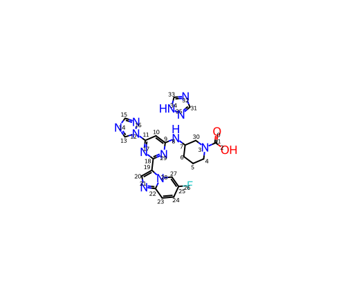 O=C(O)N1CCCC(Nc2cc(-n3cncn3)nc(-c3cnc4ccc(F)cn34)n2)C1.c1nc[nH]n1